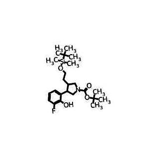 CC(C)(C)OC(=O)N1CC(CCO[Si](C)(C)C(C)(C)C)C(c2cccc(F)c2O)C1